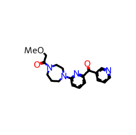 COCC(=O)N1CCCN(c2cccc(C(=O)c3cccnc3)n2)CC1